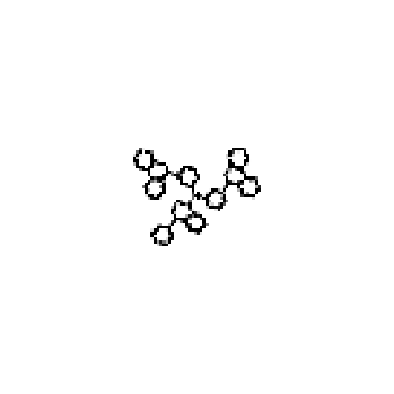 c1ccc(-c2ccc(N(c3cccc(-c4cc5ccccc5c5ccccc45)c3)c3cccc(-c4cc5ccccc5c5ccccc45)c3)c3ccccc23)cc1